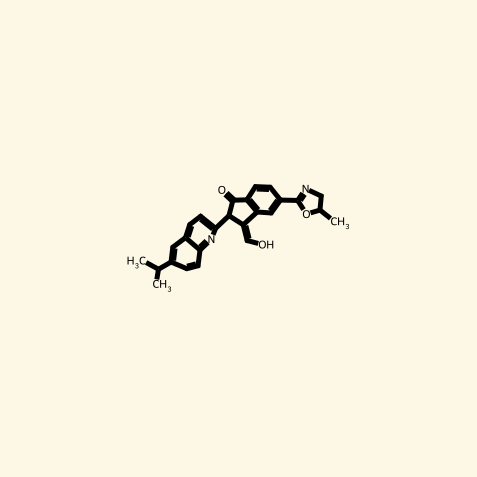 CC1CN=C(c2ccc3c(c2)/C(=C\O)C(c2ccc4cc(C(C)C)ccc4n2)C3=O)O1